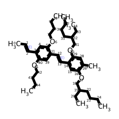 C/C=C/c1cc(OCCCC)c(/C=C/c2cc(OCC(CC)CCCC)c(C)cc2OCC(CC)CCCC)cc1OCCCC